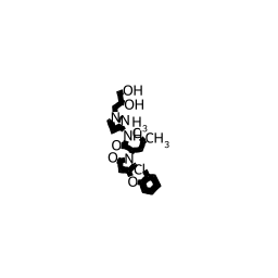 CC(C)CC(C(=O)Nc1ccn(CC(O)CO)n1)N1CC(Oc2ccccc2Cl)=CC1=O